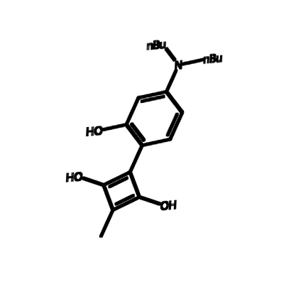 CCCCN(CCCC)c1ccc(C2=C(O)C(C)=C2O)c(O)c1